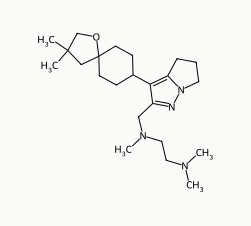 CN(C)CCN(C)Cc1nn2c(c1C1CCC3(CC1)CC(C)(C)CO3)CCC2